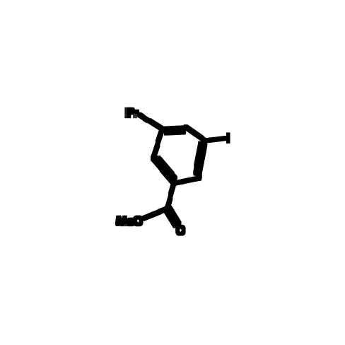 [CH2]C(C)c1cc(I)cc(C(=O)OC)c1